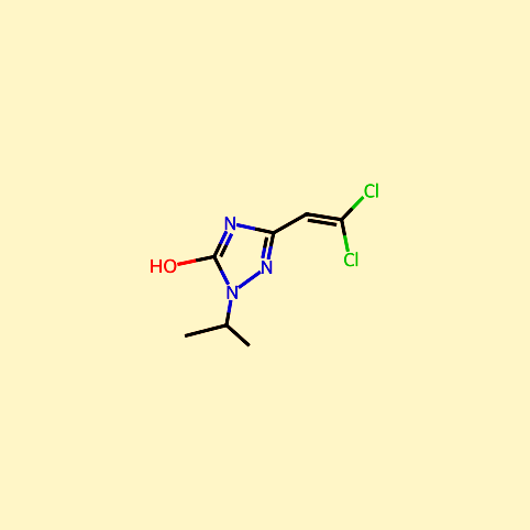 CC(C)n1nc(C=C(Cl)Cl)nc1O